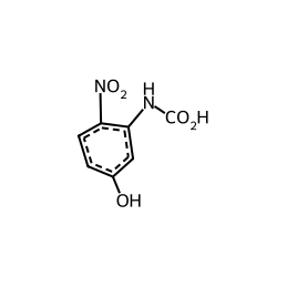 O=C(O)Nc1cc(O)ccc1[N+](=O)[O-]